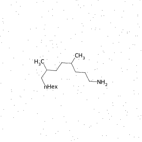 CCCCCCCC(C)CCC(C)CCCN